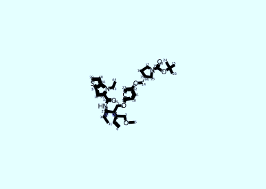 C=C/C(COC)=C(COc1ccc(OC[C@@H]2CCN(C(=O)OC(C)(C)C)C2)cc1)\C(=C/C)NC(=O)c1cc2sccc2n1CC